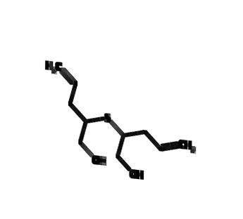 C=CCC(CO)SC(CO)CC=C